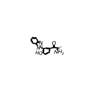 C[C@H](N)C(=O)c1ccc(O)c(-n2nc3ccccc3n2)c1